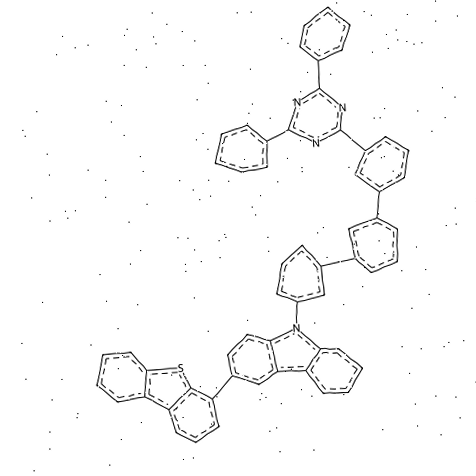 c1ccc(-c2nc(-c3ccccc3)nc(-c3cccc(-c4cccc(-c5cccc(-n6c7ccccc7c7cc(-c8cccc9c8sc8ccccc89)ccc76)c5)c4)c3)n2)cc1